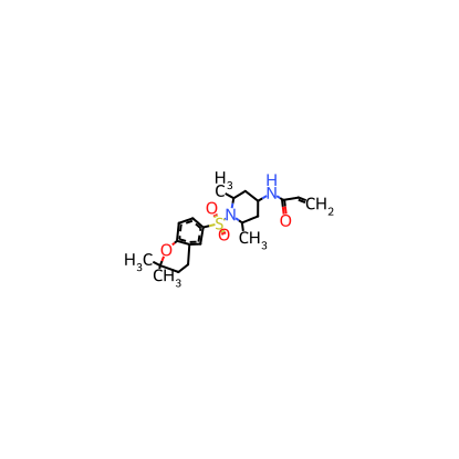 C=CC(=O)NC1CC(C)N(S(=O)(=O)c2ccc3c(c2)CCC(C)(C)O3)C(C)C1